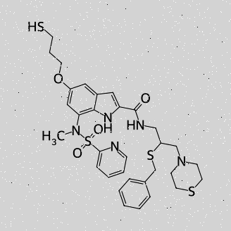 CN(c1cc(OCCCS)cc2cc(C(=O)NCC(CN3CCSCC3)SCc3ccccc3)[nH]c12)S(=O)(=O)c1ccccn1